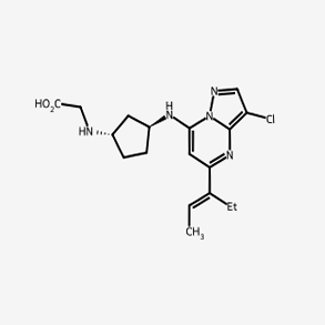 C/C=C(\CC)c1cc(N[C@H]2CC[C@H](NCC(=O)O)C2)n2ncc(Cl)c2n1